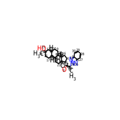 C[C@H](C(=O)[C@H]1CC[C@H]2[C@@H]3CC[C@H]4C[C@](C)(O)CC[C@@H]4[C@H]3CC[C@]12C)n1nc2ccccc2n1